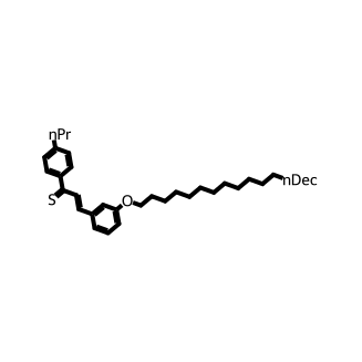 CCCCCCCCCCCCCCCCCCCCCCOc1cccc(C=CC(=S)c2ccc(CCC)cc2)c1